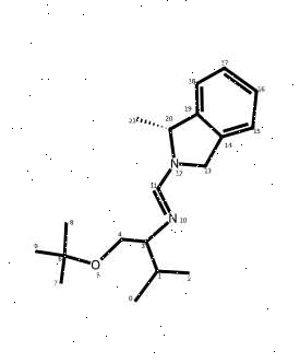 CC(C)C(COC(C)(C)C)N=CN1Cc2ccccc2[C@H]1C